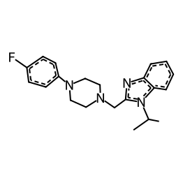 CC(C)n1c(CN2CCN(c3ccc(F)cc3)CC2)nc2ccccc21